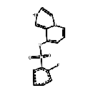 O=S(=O)(OC1=CC=CN2C=CNC=C12)c1ccccc1F